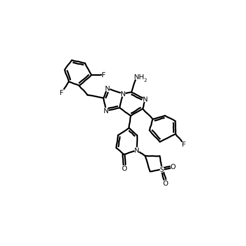 Nc1nc(-c2ccc(F)cc2)c(-c2ccc(=O)n(C3CS(=O)(=O)C3)c2)c2nc(Cc3c(F)cccc3F)nn12